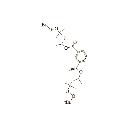 CC(CC(C)(C)OOC(C)(C)C)OC(=O)c1cccc(C(=O)OC(C)CC(C)(C)OOC(C)(C)C)c1